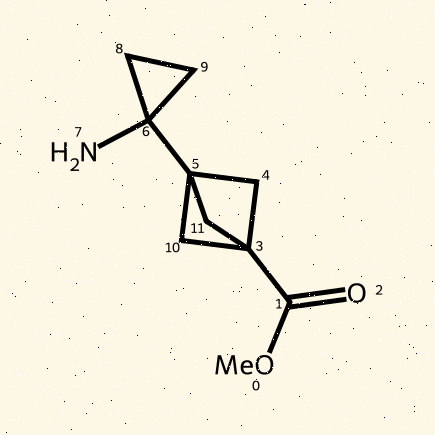 COC(=O)C12CC(C3(N)CC3)(C1)C2